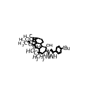 C=C1C(=O)C23C4CCC1C2OC(C)(C)O[C@@]3(O)C(O)C1C4C(O)[C@@H](N2C=C(c3ccc(C(C)(C)C)cc3)NN2)CC1(C)C